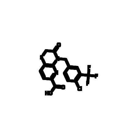 O=C(O)c1ccc2c(n1)N(Cc1ccc(Cl)c(C(F)(F)F)c1)C(=O)CS2